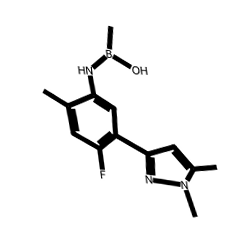 CB(O)Nc1cc(-c2cc(C)n(C)n2)c(F)cc1C